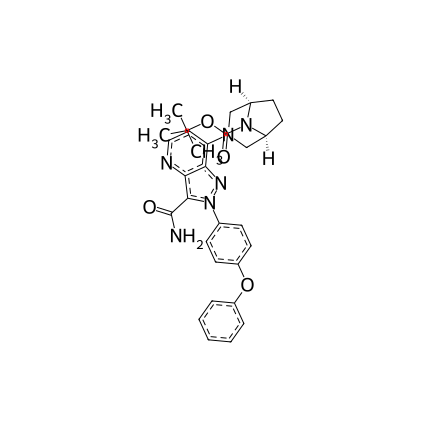 CC(C)(C)OC(=O)N1[C@@H]2CC[C@H]1CN(c1ccnc3c(C(N)=O)n(-c4ccc(Oc5ccccc5)cc4)nc13)C2